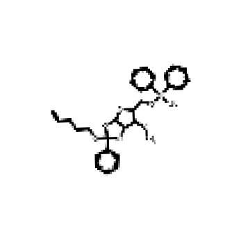 C=CCCCOC1(c2ccccc2)OC2OC(CO[Si](c3ccccc3)(c3ccccc3)C(C)(C)C)C(OP)C2O1